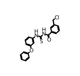 O=C(NC(=S)Nc1cccc(Oc2ccccc2)c1)c1cccc(CCl)c1